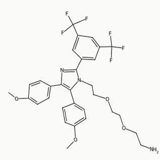 COc1ccc(-c2nc(-c3cc(C(F)(F)F)cc(C(F)(F)F)c3)n(CCOCCOCCN)c2-c2ccc(OC)cc2)cc1